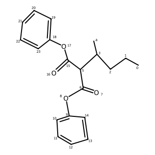 CCCC(C)C(C(=O)Oc1ccccc1)C(=O)Oc1ccccc1